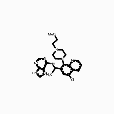 COCCN1CCN(c2c(C(C)Nc3ncnc4[nH]cnc34)cc(Cl)c3cccnc23)CC1